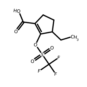 CCC1CCC(C(=O)O)=C1OS(=O)(=O)C(F)(F)F